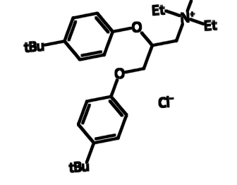 CC[N+](CC)(CC)CC(COc1ccc(C(C)(C)C)cc1)Oc1ccc(C(C)(C)C)cc1.[Cl-]